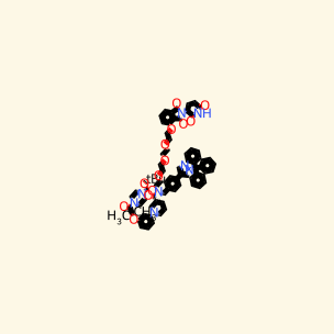 CC(C)(C)OC(=O)N1CCN(C(=O)C(C)(C)Oc2cccc(N3CCC[C@@H](C(=O)N(CCOCCOCCOCCOc4cccc5c4C(=O)N(C4CCC(=O)NC4=O)C5=O)Cc4ccc(-c5cnn(C(c6ccccc6)(c6ccccc6)c6ccccc6)c5)cc4)C3)c2)CC1